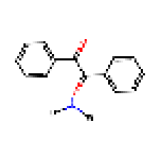 CCNCC.O=C(C(=O)c1ccccc1)c1ccccc1